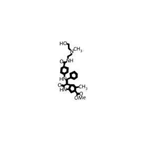 COC(=O)c1cc2c(cc1C)/C(=C(/Nc1ccc(C(=O)NCCN(C)CCO)cc1)c1ccccc1)C(=O)N2